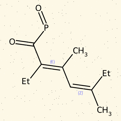 CC/C(C)=C\C(C)=C(/CC)C(=O)P=O